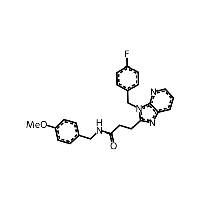 COc1ccc(CNC(=O)CCc2nc3cccnc3n2Cc2ccc(F)cc2)cc1